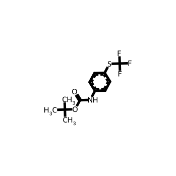 CC(C)(C)OC(=O)Nc1ccc(SC(F)(F)F)cc1